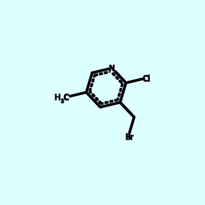 Cc1cnc(Cl)c(CBr)c1